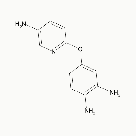 Nc1ccc(Oc2ccc(N)c(N)c2)nc1